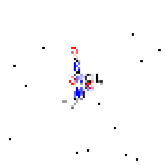 Cc1ccc(-c2noc(C)c2Cn2ncc(N3CCC4(CCOCC4)CC3)cc2=O)nn1